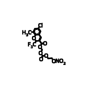 Cc1cc(Cl)cc2c1OC(C(F)(F)F)C(C(=O)OCOC(=O)OCCO[N+](=O)[O-])=C2